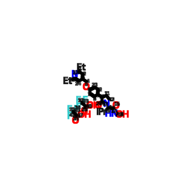 CCc1cc(COc2ccc(C3CCN(C(C(=O)NO)C(C)C)C3=O)cc2)cc(CC)n1.O=C(O)C(F)(F)F.O=C(O)C(F)(F)F